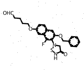 O=CCCCCOc1ccc2cc(OCc3ccccc3)c(N3CC(=O)NS3)c(F)c2c1